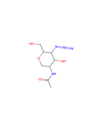 CC(=O)NC1COC(CO)C(N=[N+]=[N-])C1O